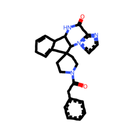 O=C1NC2C3C=CCC=C3C3(CCN(C(=O)Cc4ccccc4)CC3)C2n2ccnc21